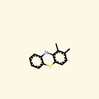 Cc1ccc2c(c1C)[N]c1ccccc1S2